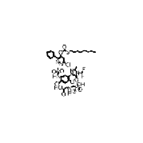 CCCCCCCCSC(=O)Oc1cc(Cl)nnc1-c1ccccc1.Cc1nn(-c2cc(NS(C)(=O)=O)c(Cl)cc2Cl)c(=O)n1C(F)F.O=C(O)CNCP(=O)(O)O